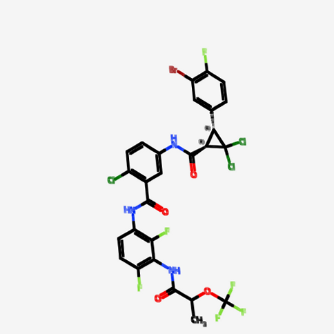 CC(OC(F)(F)F)C(=O)Nc1c(F)ccc(NC(=O)c2cc(NC(=O)[C@H]3[C@H](c4ccc(F)c(Br)c4)C3(Cl)Cl)ccc2Cl)c1F